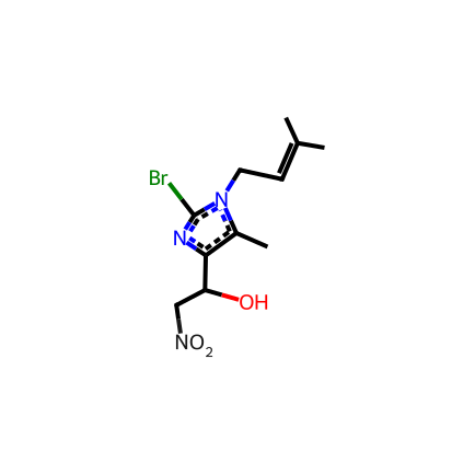 CC(C)=CCn1c(Br)nc(C(O)C[N+](=O)[O-])c1C